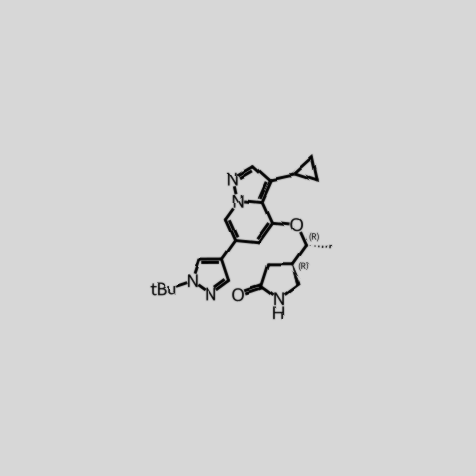 C[C@@H](Oc1cc(-c2cnn(C(C)(C)C)c2)cn2ncc(C3CC3)c12)[C@H]1CNC(=O)C1